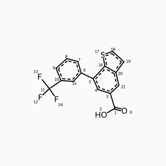 O=C(O)c1cc(-c2cccc(C(F)(F)F)c2)c2sccc2c1